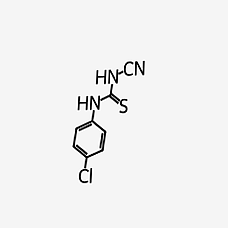 N#CNC(=S)Nc1ccc(Cl)cc1